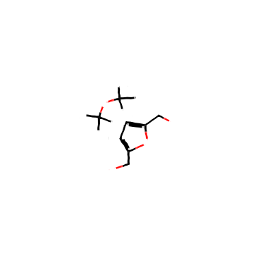 CC(C)(C)OC(C)(C)C.OCc1ccc(CO)o1